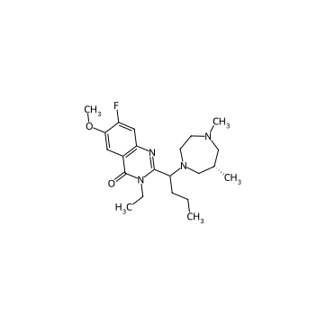 CCCC(c1nc2cc(F)c(OC)cc2c(=O)n1CC)N1CCN(C)C[C@H](C)C1